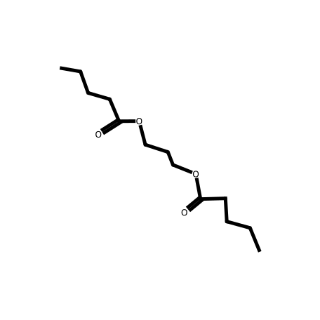 CCCCC(=O)OCCCOC(=O)CCCC